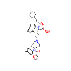 CCC(C(=O)O)N(C(=O)CCC1CCCCC1)c1ccccc1CCCN1CCC(N(C(=O)c2ccco2)c2ccc(C)cc2)CC1